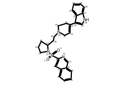 O=S(=O)(c1cc2ccccc2cn1)N1CCCC1CCN1CC=C(c2c[nH]c3ccccc23)CC1